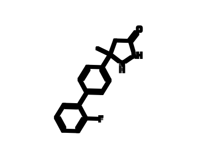 CC1(c2ccc(-c3ccccc3F)cc2)CC(=O)NN1